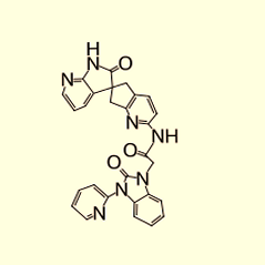 O=C(Cn1c(=O)n(-c2ccccn2)c2ccccc21)Nc1ccc2c(n1)CC1(C2)C(=O)Nc2ncccc21